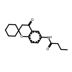 CCCC(=O)Nc1ccc2c(c1)C(=O)CC1(CCCCC1)O2